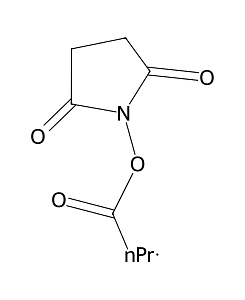 CC[CH]C(=O)ON1C(=O)CCC1=O